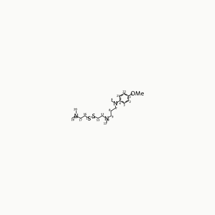 COc1ccc(N(C)CCCN(C)CCSSCCN(C)C)cc1